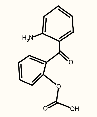 Nc1ccccc1C(=O)c1ccccc1OC(=O)O